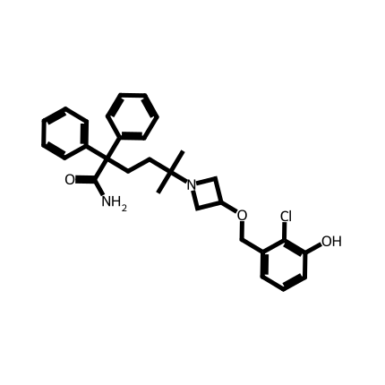 CC(C)(CCC(C(N)=O)(c1ccccc1)c1ccccc1)N1CC(OCc2cccc(O)c2Cl)C1